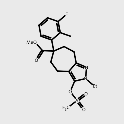 CCn1nc2c(c1OS(=O)(=O)C(F)(F)F)CCC(C(=O)OC)(c1cccc(F)c1C)CC2